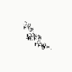 CS(=O)(=O)NCc1cc(F)cc(-c2nccc3[nH]c(-c4n[nH]c5ncc(-c6cncc(NC(=O)C7CCCCC7)c6)c(F)c45)nc23)c1